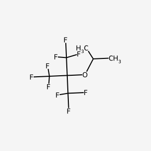 CC(C)OC(C(F)(F)F)(C(F)(F)F)C(F)(F)F